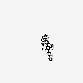 CC(C)OC(=O)c1cc2c(n(C3CC3)c1=O)-c1cc(Cl)c(-c3cnc(N4CCCC4)nc3)cc1S(=O)(=O)C2